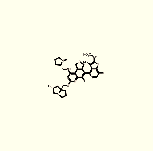 CN1CCC[C@H]1CNc1nc(OC[C@@]23CCCN2C[C@H](F)C3)nc2c(F)c(-c3ncc(F)c4sc(NC(=O)O)c(C#N)c34)c3c(c12)COC3